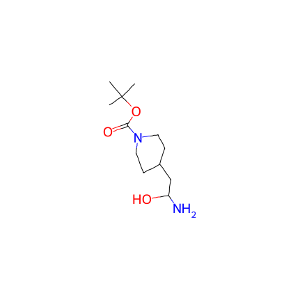 CC(C)(C)OC(=O)N1CCC(CC(N)O)CC1